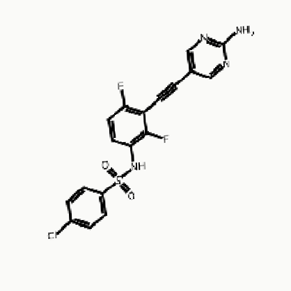 Nc1ncc(C#Cc2c(F)ccc(NS(=O)(=O)c3ccc(Cl)cc3)c2F)cn1